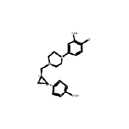 COc1ccc([C@@H]2C[C@H]2CN2CCN(c3ccc(Br)c(OC)c3)CC2)cc1